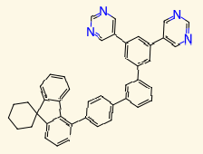 c1cc(-c2ccc(-c3cccc4c3-c3ccccc3C43CCCCC3)cc2)cc(-c2cc(-c3cncnc3)cc(-c3cncnc3)c2)c1